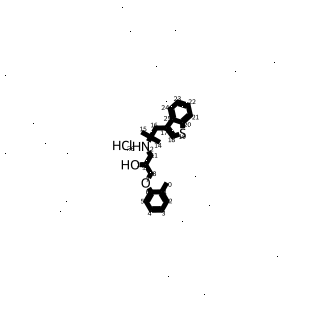 Cc1ccccc1OCC(O)CNC(C)(C)Cc1csc2ccccc12.Cl